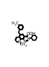 Cc1cccc(Cc2cc3c(=O)n(C4CCCCC4O)cnc3c3c2C=CCN3C)c1